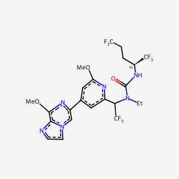 CCN(C(=O)N[C@@H](CCC(F)(F)F)C(F)(F)F)C(c1cc(-c2cn3ccnc3c(OC)n2)cc(OC)n1)C(F)(F)F